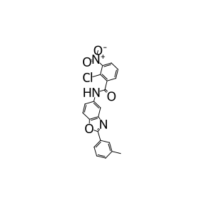 Cc1cccc(-c2nc3cc(NC(=O)c4cccc([N+](=O)[O-])c4Cl)ccc3o2)c1